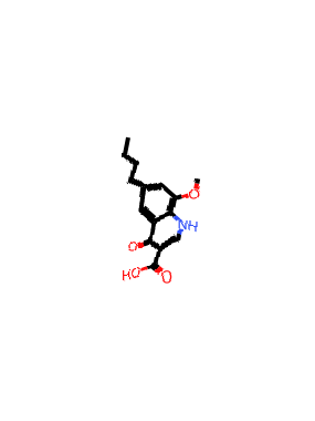 CCCCc1cc(OC)c2[nH]cc(C(=O)O)c(=O)c2c1